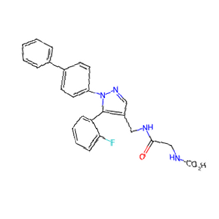 O=C(O)NCC(=O)NCc1cnn(-c2ccc(-c3ccccc3)cc2)c1-c1ccccc1F